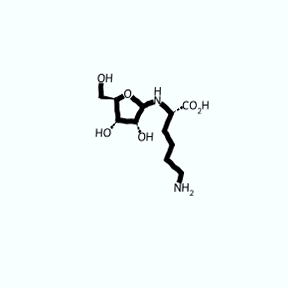 NCCCC[C@H](NC1O[C@H](CO)[C@@H](O)[C@H]1O)C(=O)O